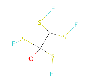 [O]C(SF)(SF)C(SF)SF